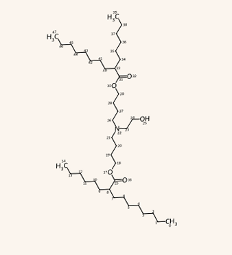 CCCCCCCCC(CCCCCC)C(=O)OCCCCN(CCO)CCCCOC(=O)C(CCCCCC)CCCCCCCC